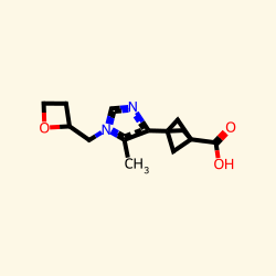 Cc1c(C23CC(C(=O)O)(C2)C3)ncn1CC1CCO1